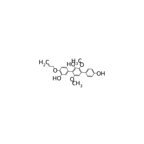 C=CCOc1ccc(-c2c(OC)cc(-c3ccc(O)cc3)c(OC)c2O)cc1O